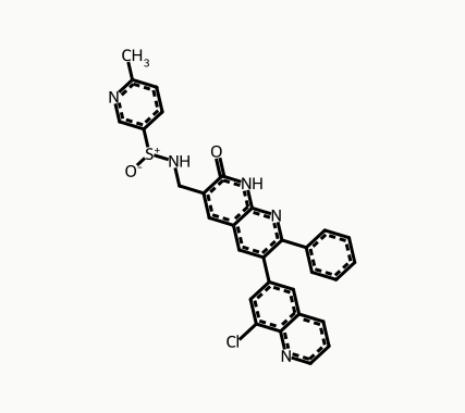 Cc1ccc([S+]([O-])NCc2cc3cc(-c4cc(Cl)c5ncccc5c4)c(-c4ccccc4)nc3[nH]c2=O)cn1